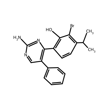 CC(C)c1ccc(-c2nc(N)ncc2-c2ccccc2)c(O)c1Br